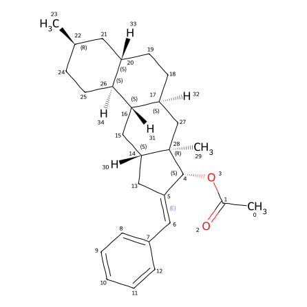 CC(=O)O[C@@H]1/C(=C/c2ccccc2)C[C@@H]2C[C@H]3[C@@H](CC[C@H]4C[C@H](C)CC[C@@H]43)C[C@]21C